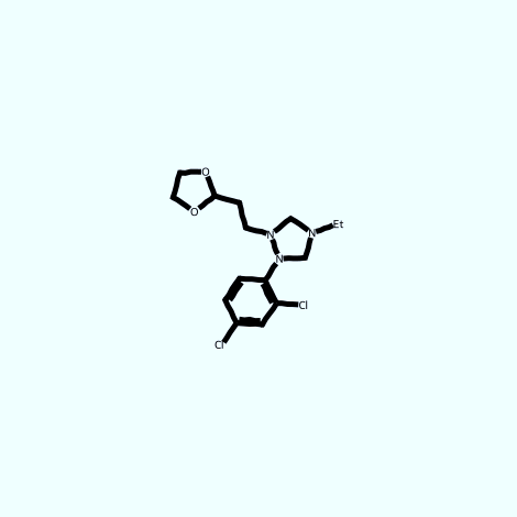 CCN1CN(CCC2OCCO2)N(c2ccc(Cl)cc2Cl)C1